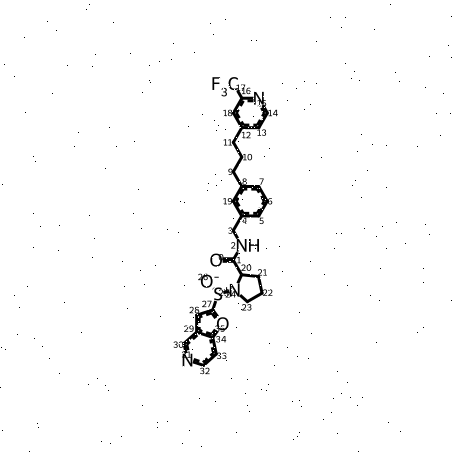 O=C(NCc1cccc(CCCc2ccnc(C(F)(F)F)c2)c1)C1CCCN1[S+]([O-])c1cc2cnccc2o1